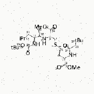 COC(=O)C(CSSCC(NC(=O)C(CC(C)C)NC(=O)OC(C)(C)C)C(=O)OC)NC(=O)CC(C)(C)C